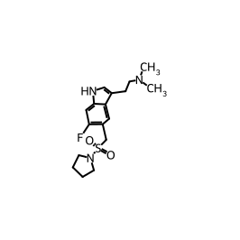 CN(C)CCc1c[nH]c2cc(F)c(CS(=O)(=O)N3CCCC3)cc12